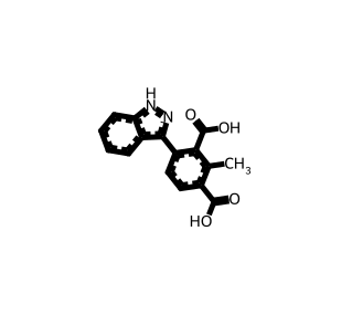 Cc1c(C(=O)O)ccc(-c2n[nH]c3ccccc23)c1C(=O)O